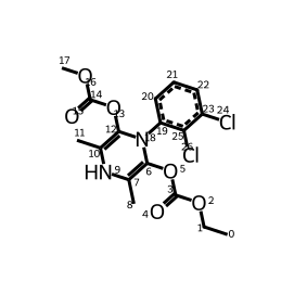 CCOC(=O)OC1=C(C)NC(C)=C(OC(=O)OC)N1c1cccc(Cl)c1Cl